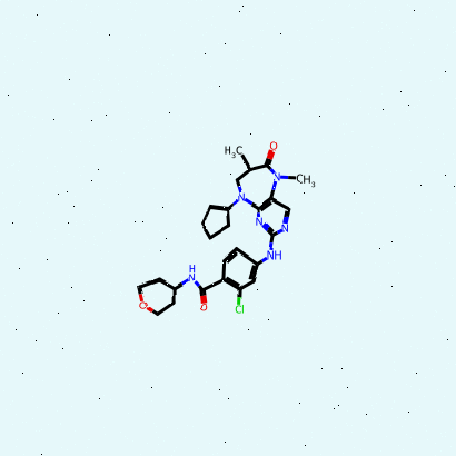 CC1CN(C2CCCC2)c2nc(Nc3ccc(C(=O)NC4CCOCC4)c(Cl)c3)ncc2N(C)C1=O